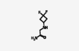 NC(=O)CNC1CC(F)(F)C1